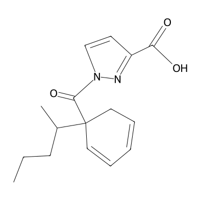 CCCC(C)C1(C(=O)n2ccc(C(=O)O)n2)C=CC=CC1